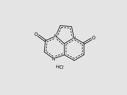 Cl.O=c1ccc2ncc(=O)n3ccn1c23